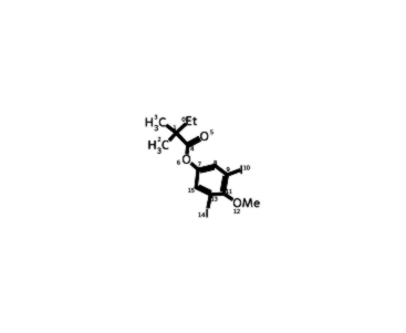 CCC(C)(C)C(=O)Oc1cc(I)c(OC)c(I)c1